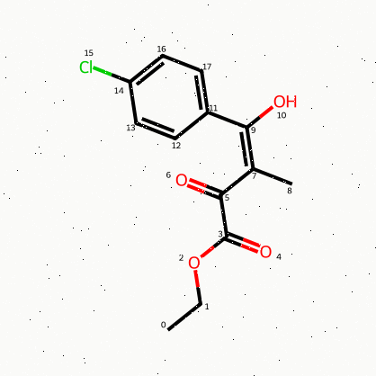 CCOC(=O)C(=O)C(C)=C(O)c1ccc(Cl)cc1